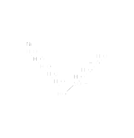 O.O.O.O.O.O.O.O.O.O=S(=O)(O)O.[Ni]